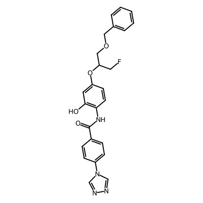 O=C(Nc1ccc(OC(CF)COCc2ccccc2)cc1O)c1ccc(-n2cnnc2)cc1